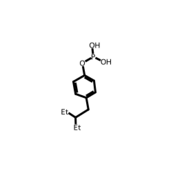 CCC(CC)Cc1ccc(OP(O)O)cc1